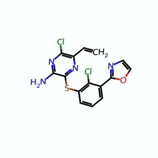 C=Cc1nc(Sc2cccc(-c3ncco3)c2Cl)c(N)nc1Cl